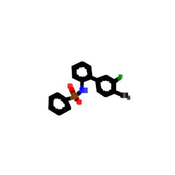 Cc1ccc(-c2ccccc2NS(=O)(=O)c2ccccc2)cc1F